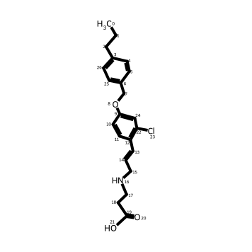 CCCc1ccc(COc2ccc(/C=C/CNCCC(=O)O)c(Cl)c2)cc1